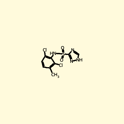 Cc1ccc(Cl)c(NS(=O)(=O)c2nc[nH]n2)c1Cl